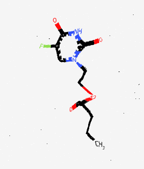 CCCC(=O)OCCn1cc(F)c(=O)[nH]c1=O